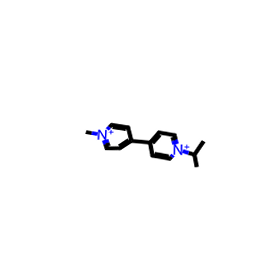 CC(C)[n+]1ccc(-c2cc[n+](C)cc2)cc1